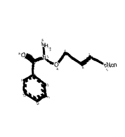 CCCCCCCCCCCCON(N)C(=O)c1ccccc1